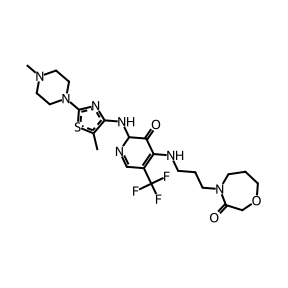 Cc1sc(N2CCN(C)CC2)nc1NC1N=CC(C(F)(F)F)=C(NCCCN2CCCOCC2=O)C1=O